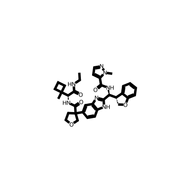 CCNC(=O)[C@H](NC(=O)C1(c2ccc3[nH]c([C@@H](NC(=O)c4ccnn4C)[C@H]4COc5ccccc54)nc3c2)CCOC1)C1(C)CCC1